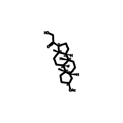 CC(=O)O[C@H]1CC[C@@]2(C)[C@H](CC[C@H]3[C@@H]4CC[C@H](C(=O)CO)[C@@]4(C)CC[C@@]32F)C1